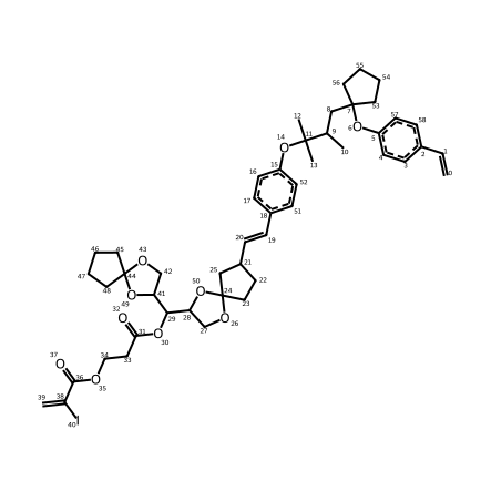 C=Cc1ccc(OC2(CC(C)C(C)(C)Oc3ccc(/C=C/C4CCC5(C4)OCC(C(OC(=O)CCOC(=O)C(=C)I)C4COC6(CCCC6)O4)O5)cc3)CCCC2)cc1